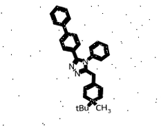 CC(C)(C)C1(C)C=CC(Cc2nnc(-c3ccc(-c4ccccc4)cc3)n2-c2ccccc2)=CC1